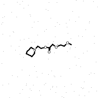 COCCOCC(=O)OCCN1CCCCC1